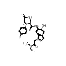 Cc1cc2cnn(CC(=O)N(C)C)c2cc1NC(=O)C1=CNC(=O)C[C@H]1c1ccc(F)cc1